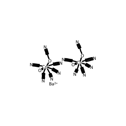 N#C[O][Co-](=[O])([C]#N)([C]#N)([C]#N)([C]#N)[C]#N.N#C[O][Co-](=[O])([C]#N)([C]#N)([C]#N)([C]#N)[C]#N.[Ba+2]